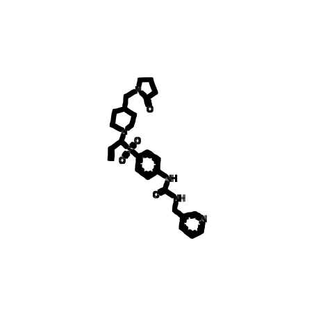 C=CC(N1CCC(CN2CCCC2=O)CC1)S(=O)(=O)c1ccc(NC(=O)NCc2cccnc2)cc1